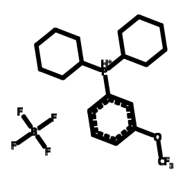 FC(F)(F)Oc1cccc([PH+](C2CCCCC2)C2CCCCC2)c1.F[B-](F)(F)F